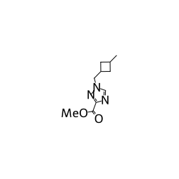 COC(=O)c1ncn(CC2CC(C)C2)n1